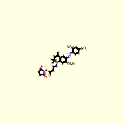 COc1cc2c(cc1N=Nc1ccc([N+](=O)[O-])cc1C#N)C(C)=CC(C)(C)N2CCCC(=O)ON1C(=O)CCC1=O